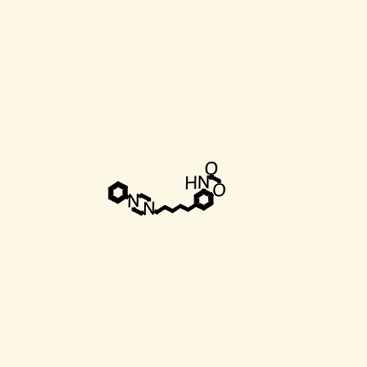 O=C1COc2ccc(CCCCCN3CCN(c4ccccc4)CC3)cc2N1